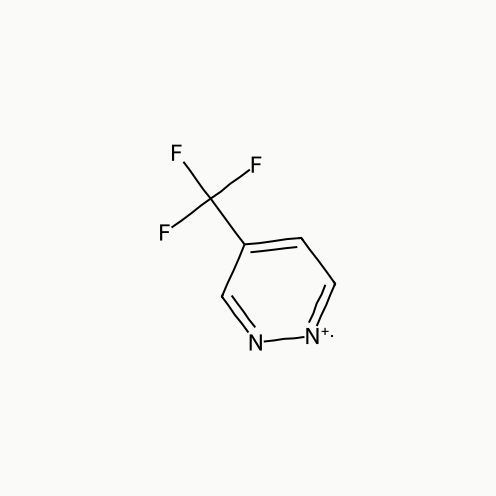 FC(F)(F)C1=CC=[N+]N=C1